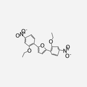 CCOc1cc([N+](=O)[O-])ccc1-c1ccc(-c2ccc([N+](=O)[O-])cc2OCC)o1